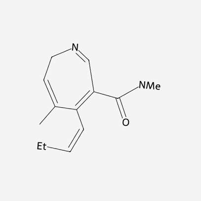 CC/C=C\C1=C(C(=O)NC)C=NCC=C1C